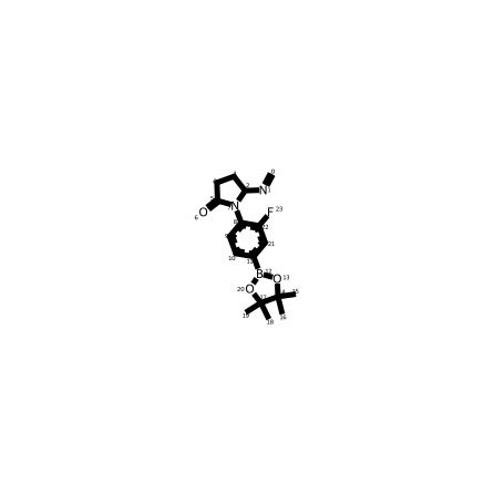 C=NC1CCC(=O)N1c1ccc(B2OC(C)(C)C(C)(C)O2)cc1F